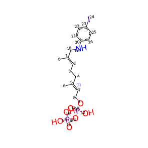 CC(=CCC/C(C)=C/COP(=O)(O)OP(=O)(O)O)CNc1ccc(I)cc1